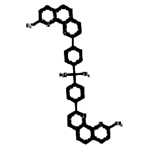 Cc1ccc2ccc3ccc(-c4ccc(C(C)(C)c5ccc(-c6ccc7ccc8ccc(C)nc8c7n6)cc5)cc4)nc3c2n1